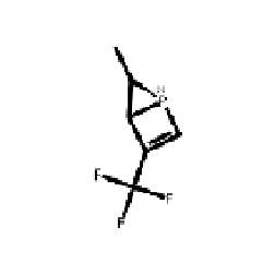 CC1C2C(C(F)(F)F)=C[P@]12